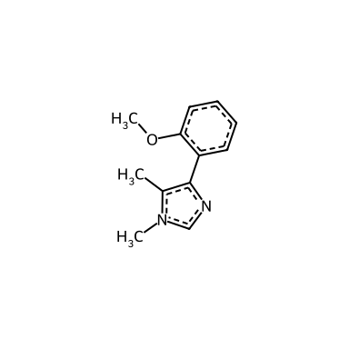 COc1ccccc1-c1ncn(C)c1C